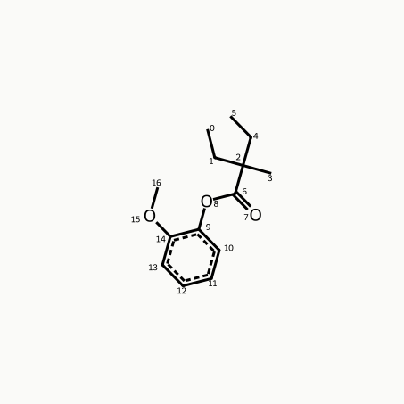 CCC(C)(CC)C(=O)Oc1ccccc1OC